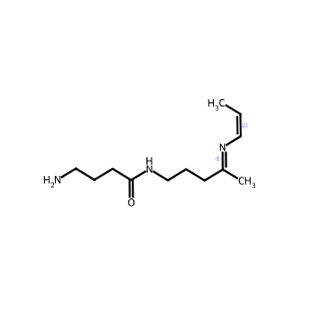 C/C=C\N=C(/C)CCCNC(=O)CCCN